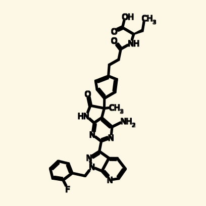 CC[C@@H](NC(=O)CCc1ccc(C2(C)C(=O)Nc3nc(-c4nn(Cc5ccccc5F)c5ncccc45)nc(N)c32)cc1)C(=O)O